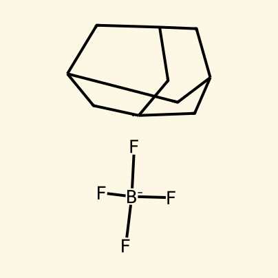 C1[C]2CC3CC1CC(C2)C3.F[B-](F)(F)F